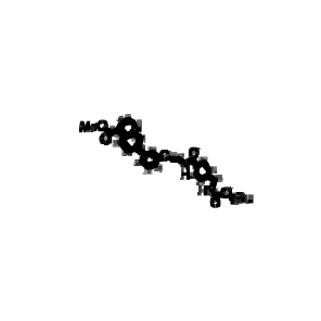 COC(=O)c1ccnc2cc(-c3cccc(OCCNC(=O)C4CCC(CNC(=O)OC(C)(C)C)CC4)c3)ccc12